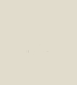 C1=CC2CCC1C2.CC(=O)O